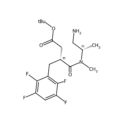 C[C@@H](CN)N(C)C(=O)[C@@H](CC(=O)OC(C)(C)C)Cc1c(F)c(F)cc(F)c1F